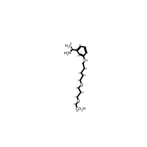 C[C@H](N)c1cccc(OCCCCCOCCCOCC(=O)O)c1